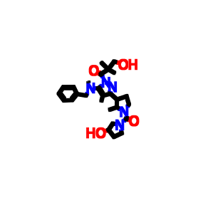 Cc1c(C2CCN(C(=O)N3CCC(O)C3)C2C)nn(C(=O)C(C)(C)CO)c1N(C)Cc1ccccc1